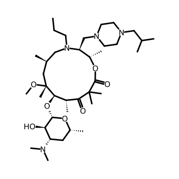 CCCN1C[C@H](C)C[C@@](C)(OC)[C@H](O[C@@H]2O[C@H](C)C[C@H](N(C)C)[C@H]2O)[C@@H](C)C(=O)C(C)(C)C(=O)O[C@@H](C)[C@@H]1CN1CCN(CC(C)C)CC1